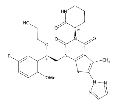 COc1ccc(F)cc1[C@H](Cn1c(=O)n([C@@H]2CCCNC2=O)c(=O)c2c(C)c(-n3nccn3)sc21)OCCC#N